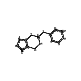 [c]1nc2c(s1)CN(Cc1cccnc1)CC2